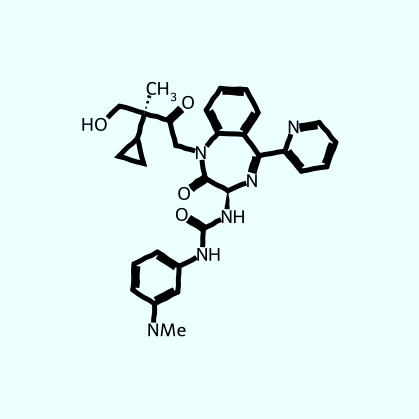 CNc1cccc(NC(=O)N[C@@H]2N=C(c3ccccn3)c3ccccc3N(CC(=O)[C@](C)(CO)C3CC3)C2=O)c1